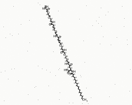 CCCCCCCCCCCCCCCCCC(=O)NC(CCC(=O)NCCOCCOCC(=O)NCCOCCOCC(=O)NCCOCCOCC(=O)NCCOCCOCC(=O)NS)C(=O)O